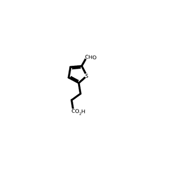 O=Cc1ccc(CCC(=O)O)s1